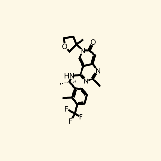 Cc1nc(N[C@@H](C)c2cccc(C(F)(F)F)c2C)c2cn(C3(C)CCOC3)c(=O)cc2n1